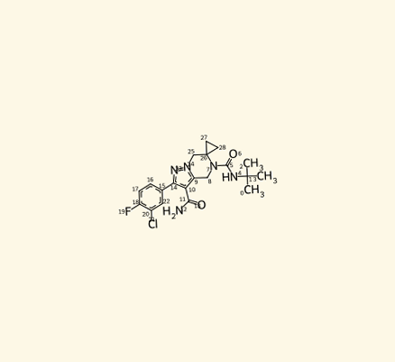 CC(C)(C)NC(=O)N1Cc2c(C(N)=O)c(-c3ccc(F)c(Cl)c3)nn2CC12CC2